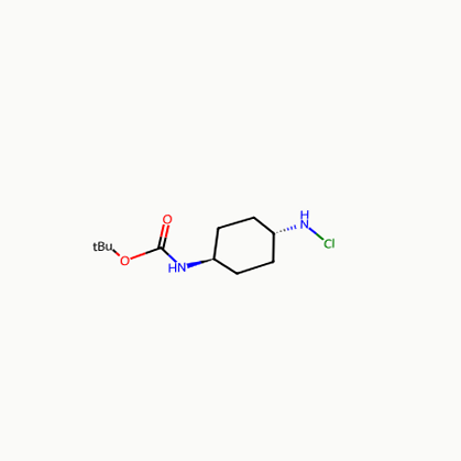 CC(C)(C)OC(=O)N[C@H]1CC[C@H](NCl)CC1